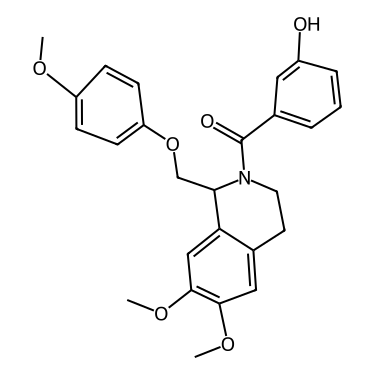 COc1ccc(OCC2c3cc(OC)c(OC)cc3CCN2C(=O)c2cccc(O)c2)cc1